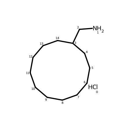 Cl.NCC1CCCCCCCCCCC1